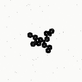 c1ccc(-c2ccc(-c3ccc(N(c4cccc(-c5cccc6ccccc56)c4)c4cccc(-c5cccc6c5oc5ccccc56)c4)cc3)c(-n3c4ccccc4c4ccccc43)c2)cc1